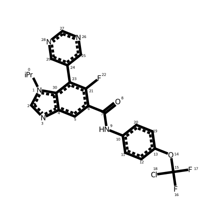 CC(C)n1cnc2cc(C(=O)Nc3ccc(OC(F)(F)Cl)cc3)c(F)c(-c3cncnc3)c21